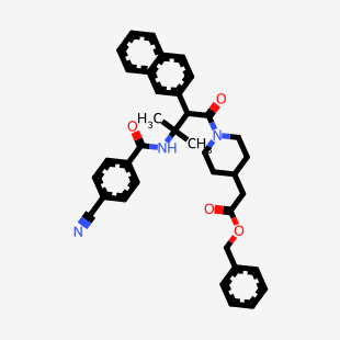 CC(C)(NC(=O)c1ccc(C#N)cc1)C(C(=O)N1CCC(CC(=O)OCc2ccccc2)CC1)c1ccc2ccccc2c1